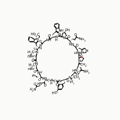 C=C1[C@H](CC(N)=O)NC(=O)[C@H](C)N(C)C(=O)[C@H](Cc2ccc(O)cc2)NC(=O)CNC[C@@H](C(=O)NCC(N)=O)NC(=O)[C@H](CC(C)C)NC(=O)[C@H](CCCC)N(C)C(=O)[C@H](CCCC)N(C)C(=O)[C@H](Cc2cn(CC(=O)O)c3ccccc23)NC(=O)CNC(=O)[C@H](Cc2c[nH]c3ccccc23)NC(=O)[C@@H]2C[C@@H](O)CN2C(=O)[C@H](CCC(N)=O)NC(=O)[C@H](Cc2cnc[nH]2)NC(=O)[C@@H]2CCCN12